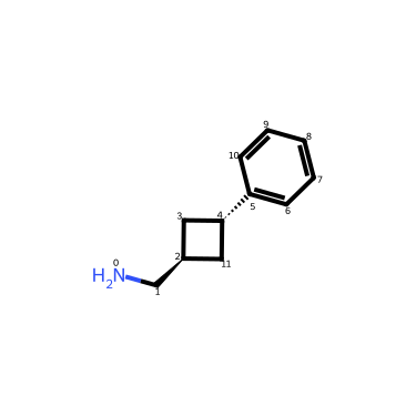 NC[C@H]1C[C@H](c2ccccc2)C1